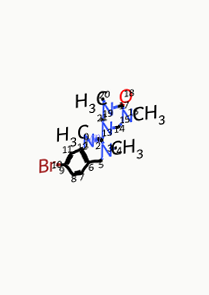 C/N=C(/N(C)Cc1ccc(Br)cc1)N1CN(C)C(=O)N(C)C1